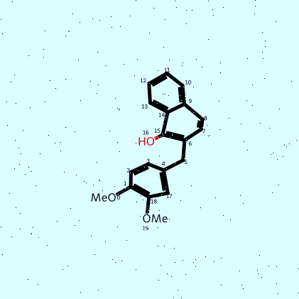 COc1ccc(Cc2ccc3ccccc3c2O)cc1OC